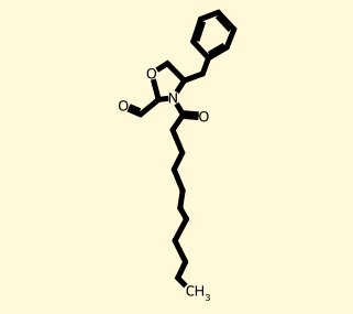 CCCCCCCCCCC(=O)N1C(Cc2ccccc2)COC1C=O